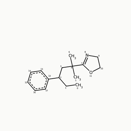 CCC(CC(C)(C)C1=NCCO1)c1ccccc1